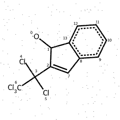 [O]C1C(C(Cl)(Cl)C(Cl)(Cl)Cl)=Cc2ccccc21